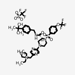 CC[N+](CC)(CC)Cc1cnc(N2CCN(S(=O)(=O)c3ccc(OC(F)(F)F)cc3)[C@@H](C(=O)NCc3ccc(C(C)(C)C)cc3)C2)cn1.O=S(=O)([O-])C(F)(F)F